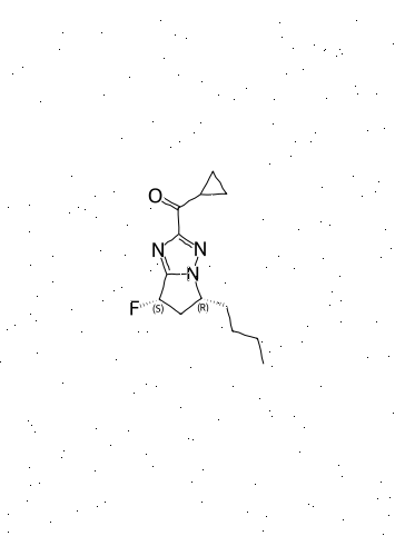 CCCC[C@@H]1C[C@H](F)c2nc(C(=O)C3CC3)nn21